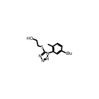 Cc1ccc(C(C)(C)C)cc1-n1nnnc1SCCO